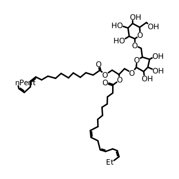 CC/C=C\C/C=C\C/C=C\CCCCCCCC(=O)OC(COC(=O)CCCCCCCCC/C=C\C/C=C\CCCCC)COC1OC(COC2OC(CO)C(O)C(O)C2O)C(O)C(O)C1O